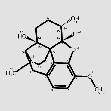 COc1ccc2c3c1O[C@H]1[C@@H](O)CC[C@@]4(O)C(C2)N(C)CCC314